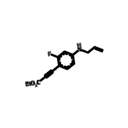 C=CCNc1ccc(C#CC(=O)OCC)c(F)c1